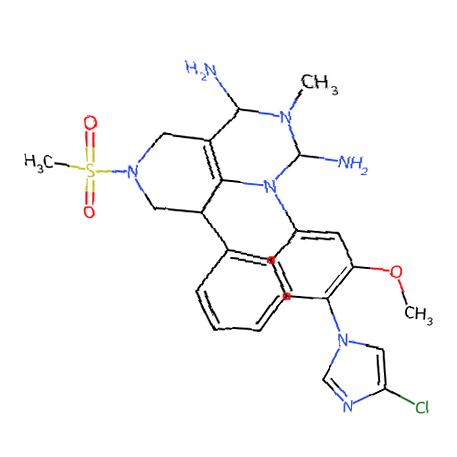 COc1cc(N2C3=C(CN(S(C)(=O)=O)CC3c3ccccc3)C(N)N(C)C2N)ccc1-n1cnc(Cl)c1